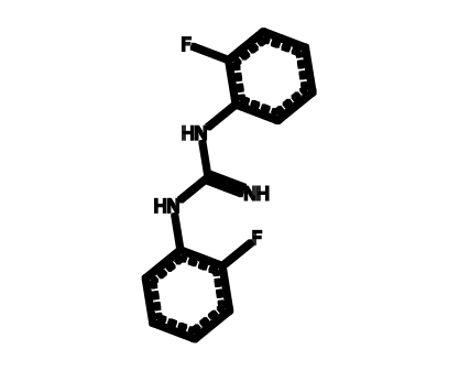 N=C(Nc1ccccc1F)Nc1ccccc1F